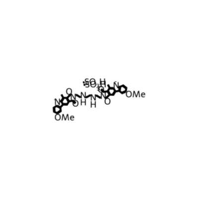 COc1ccc2c(c1)c1cc3c(c(C)c1n2C)C(=O)N(CCNCCNCCN1C(=O)c2cc4c5cc(OC)ccc5n(C)c4c(C)c2C1=O)C3=O.CS(=O)(=O)O.CS(=O)(=O)O